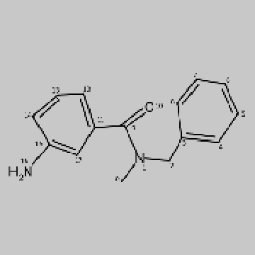 CN(Cc1ccccc1)C(=O)c1c[c]cc(N)c1